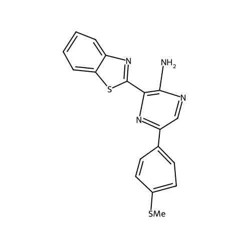 CSc1ccc(-c2cnc(N)c(-c3nc4ccccc4s3)n2)cc1